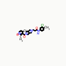 Cc1ccc(NC(=O)CCN2CC3CN(C(=O)c4c(C)cc[n+]([O-])c4C)CC3C2)cc1Cl